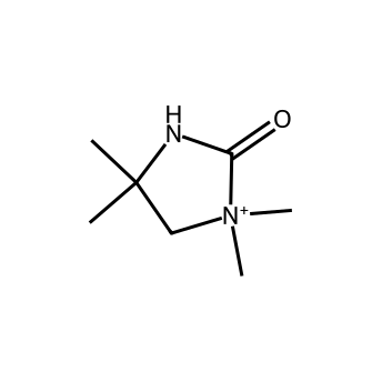 CC1(C)C[N+](C)(C)C(=O)N1